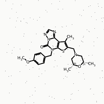 COc1ccc(Cn2c(=O)n3ncnc3c3c(C)c(CN4C[C@@H](C)O[C@@H](C)C4)sc32)cc1